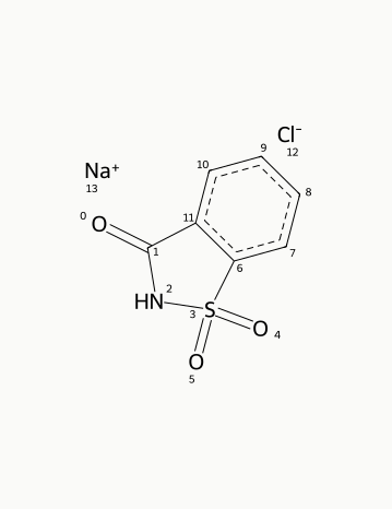 O=C1NS(=O)(=O)c2ccccc21.[Cl-].[Na+]